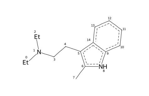 CCN(CC)CCc1c(C)[nH]c2ccccc12